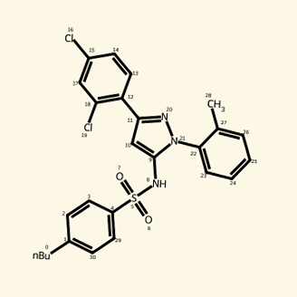 CCCCc1ccc(S(=O)(=O)Nc2cc(-c3ccc(Cl)cc3Cl)nn2-c2ccccc2C)cc1